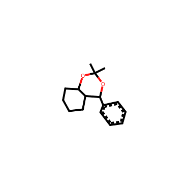 CC1(C)OC2CCCCC2C(c2ccccc2)O1